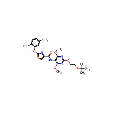 COc1nc(OCCOC(C)(C)C)nc(OC)c1NC(=O)c1csc(Oc2cc(C)ccc2C)n1